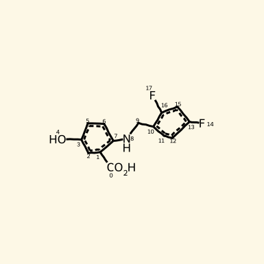 O=C(O)c1cc(O)ccc1NCc1ccc(F)cc1F